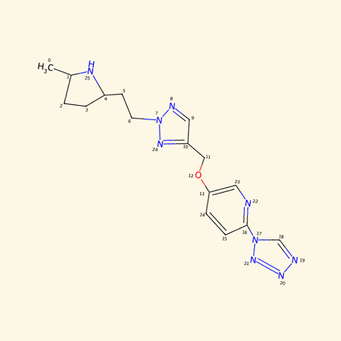 CC1CCC(CCn2ncc(COc3ccc(-n4cnnn4)nc3)n2)N1